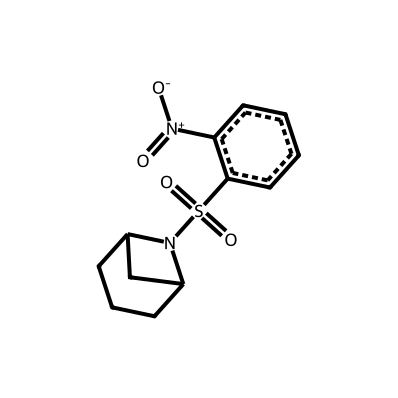 O=[N+]([O-])c1ccccc1S(=O)(=O)N1C2CCCC1C2